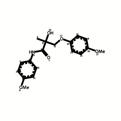 COc1ccc(NC(=O)C(C)(O)COc2ccc(OC)cc2)cc1